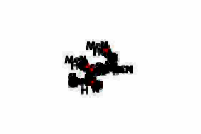 CNCC(O)COc1cc(COc2ccc(-c3cc(N(C)CCC#N)nc(-c4cccc(OCC(O)CNC)c4)n3)cc2OC)cc(-c2nc(NCCCN3CCCC3=O)cc(-c3cncnc3)n2)c1